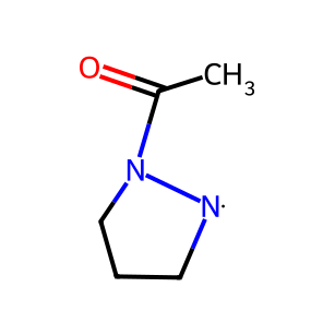 CC(=O)N1CCC[N]1